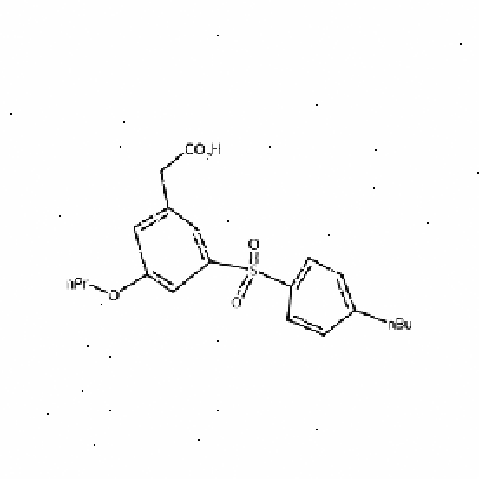 CCCCc1ccc(S(=O)(=O)c2cc(CC(=O)O)cc(OCCC)c2)cc1